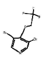 FC(F)(F)COc1c(Br)cncc1Br